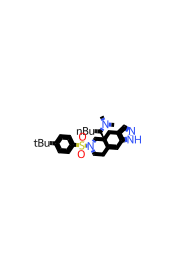 CCCCC(N(C)C)[C@@]12Cc3cn[nH]c3C=C1CCN(S(=O)(=O)c1ccc(C(C)(C)C)cc1)C2